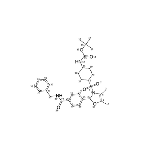 CC1=C(C)N(S(=O)(=O)C2CCC(NC(=O)OC(C)(C)C)CC2)C(c2ccc(C(=O)NCc3cccnc3)cc2)O1